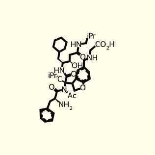 CC(=O)N(C(=O)[C@@H](N)Cc1ccccc1)[C@](CC(C)C)(C(=O)N[C@@H](CC1CCCCC1)[C@@H](O)CC(=O)NCC(C)C)C1COc2ccc(CNCC(=O)O)cc21